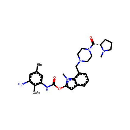 COc1c(N)cc(C(C)(C)C)cc1NC(=O)Oc1cc2cccc(CN3CCN(C(=O)[C@@H]4CCCN4C)CC3)c2n1C